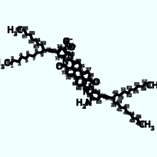 CCCCCCCCCCC(C#Cc1cc([N+](=O)[O-])c2nc3c4ccc5c6ccc7c(=O)n8c9cc(C#CC(CCCCCCCCCC)CCCCCCCCCC)cc(N)c9nc8c8ccc(c9ccc(c(=O)n3c2c1)c4c95)c6c78)CCCCCCCC